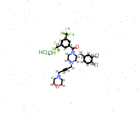 Cl.Cl.O=C(c1cc(C(F)(F)F)cc(C(F)(F)F)c1)N1CCN(CC#CCN2CCOCC2)C[C@H]1Cc1ccc(Cl)c(Cl)c1